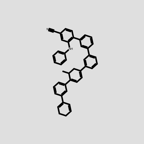 CC1CC(c2cccc(-c3cccc(-c4ccc(C#N)cc4Nc4ccccc4)c3)c2)=CC=C1c1cccc(C2=CCCC=C2)c1